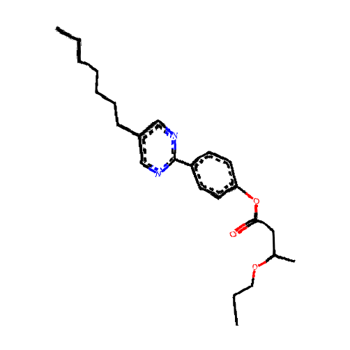 CCCCCCCc1cnc(-c2ccc(OC(=O)CC(C)OCCC)cc2)nc1